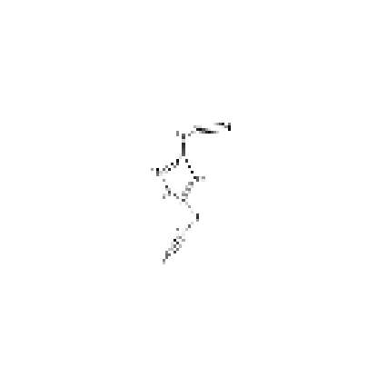 N#CSc1nsc(SC#N)n1